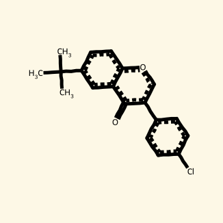 CC(C)(C)c1ccc2occ(-c3ccc(Cl)cc3)c(=O)c2c1